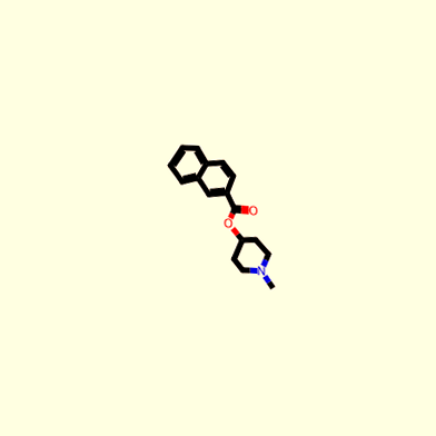 CN1CCC(OC(=O)c2ccc3ccccc3c2)CC1